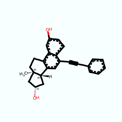 C[C@]12CCc3c(cc(C#Cc4ccccc4)c4ccc(O)cc34)[C@@H]1C[C@H](O)C2